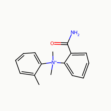 Cc1ccccc1[N+](C)(C)c1ccccc1C(N)=O